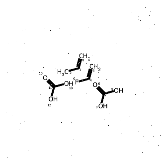 C=CC.C=CF.O=C(O)O.O=C(O)O